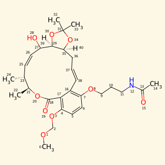 COCOc1ccc(OCCCNC(C)=O)c2c1C(=O)O[C@@H](C)[C@H](C)/C=C\C(O)[C@H]1OC(C)(C)O[C@H]1C/C=C/2